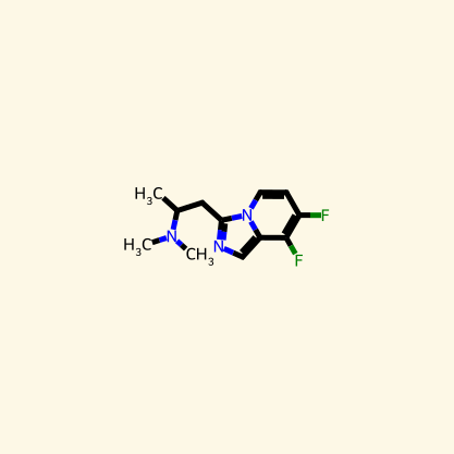 CC(Cc1ncc2c(F)c(F)ccn12)N(C)C